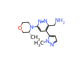 C[C@@H]1COCCN1c1cc(-c2ccnn2C)c(CN)nn1